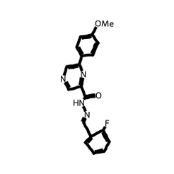 COc1ccc(-c2cncc(C(=O)N/N=C/c3ccccc3F)n2)cc1